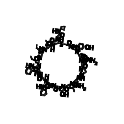 CCCC[C@H]1C(=O)N(C)[C@@H](CCCC)C(=O)N[C@@H](CC(C)C)C(=O)N[C@H](C(=O)NCC(=O)NC2CCC2)CSCC(=O)N[C@@H](Cc2ccc(O)cc2)C(=O)N(C)[C@@H](C)C(=O)N[C@@H](CC(N)=O)C(=O)N2CCC[C@H]2C(=O)N[C@@H](CN)C(=O)N[C@@H](CC(C)C)C(=O)N2C[C@H](O)C[C@H]2C(=O)N[C@@H](Cc2c[nH]c3ccccc23)C(=O)NCC(=O)NC(Cc2c[nH]c3ccccc23)C(=O)N1C